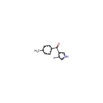 Cc1ccc(C(=O)c2c[nH]cc2I)cc1